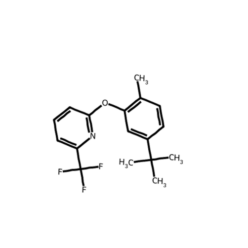 Cc1ccc(C(C)(C)C)cc1Oc1cccc(C(F)(F)F)n1